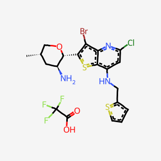 C[C@@H]1CO[C@H](c2sc3c(NCc4cccs4)cc(Cl)nc3c2Br)[C@@H](N)C1.O=C(O)C(F)(F)F